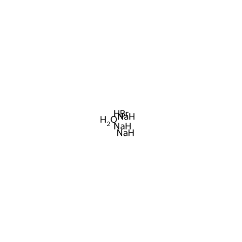 Br.O.[NaH].[NaH].[NaH]